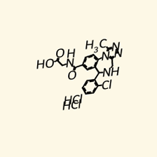 Cc1nnc2n1-c1ccc(C(=O)NCC(=O)O)cc1C(c1ccccc1Cl)NC2.Cl.Cl